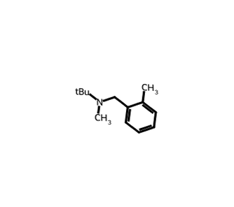 Cc1ccccc1CN(C)C(C)(C)C